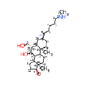 CNCCCC/C=C1\CC[C@]2(C)C3CC[C@]4(C)C(=O)CCC4C3[C@H](O)[C@H](CO)C2C1